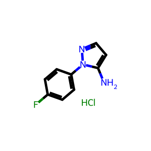 Cl.Nc1ccnn1-c1ccc(F)cc1